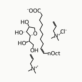 C=CC[N+](C)(C)C.C=CC[N+](C)(C)C.CCCCCCCC/C=C\CCCCCCCC(=O)[O-].OC[C@@H](O)[C@H]1OC[C@H](O)[C@H]1O.[Cl-]